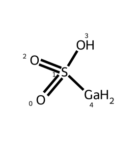 O=[S](=O)(O)[GaH2]